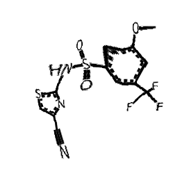 COc1cc(C(F)(F)F)cc(S(=O)(=O)Nc2nc(C#N)cs2)c1